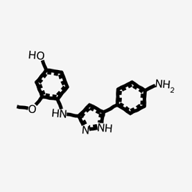 COc1cc(O)ccc1Nc1cc(-c2ccc(N)cc2)[nH]n1